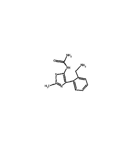 Cc1nc(-c2ccccc2CN)c(NC(N)=O)s1